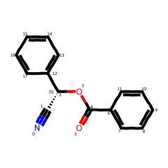 N#C[C@@H](OC(=O)c1ccccc1)c1ccccc1